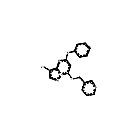 Brc1cnn2c(NCc3cccnc3)cc(Sc3ccccc3)nc12